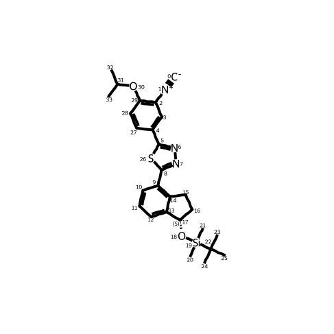 [C-]#[N+]c1cc(-c2nnc(-c3cccc4c3CC[C@@H]4O[Si](C)(C)C(C)(C)C)s2)ccc1OC(C)C